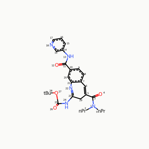 CCCN(CCC)C(=O)C1=Cc2ccc(C(=O)Nc3cccnc3)cc2N=C(NC(=O)OC(C)(C)C)C1